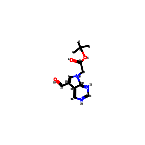 CC(C)(C)OC(=O)Cn1cc(C=O)c2cncnc21